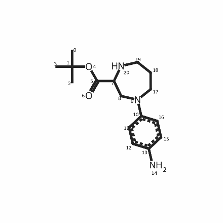 CC(C)(C)OC(=O)C1CN(c2ccc(N)cc2)CCCN1